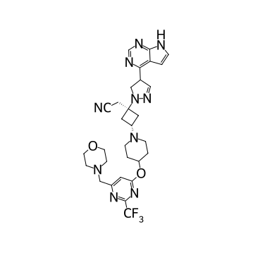 N#CC[C@]1(N2CC(c3ncnc4[nH]ccc34)C=N2)C[C@H](N2CCC(Oc3cc(CN4CCOCC4)nc(C(F)(F)F)n3)CC2)C1